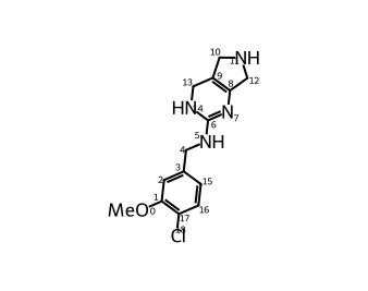 COc1cc(CNC2=NC3=C(CNC3)CN2)ccc1Cl